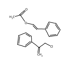 C=C(CCl)c1ccccc1.CC(=O)OC=Cc1ccccc1